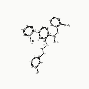 Cc1ncccc1CN(C=O)c1ccc(-c2ccccc2C#N)nc1NCCc1cccc(F)c1